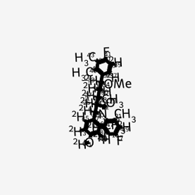 [2H]Oc1c([2H])c([2H])c([C@@]2([2H])N(c3c([2H])c([2H])c(F)c([2H])c3C)C(=O)[C@@]2([2H])[C@@]([2H])(C)C([2H])([2H])[C@]([2H])(OC)c2c([2H])c([2H])c(F)c(C)c2C)c(C)c1[2H]